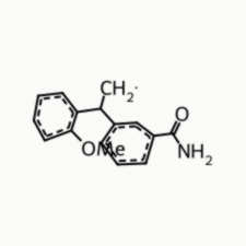 [CH2]C(c1cccc(C(N)=O)c1)c1ccccc1OC